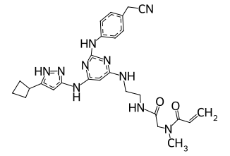 C=CC(=O)N(C)CC(=O)NCCNc1cc(Nc2cc(C3CCC3)[nH]n2)nc(Nc2ccc(CC#N)cc2)n1